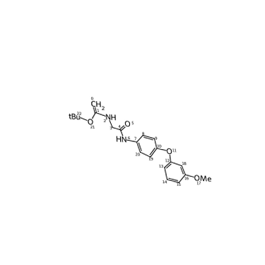 C=C(NCC(=O)Nc1ccc(Oc2cccc(OC)c2)cc1)OC(C)(C)C